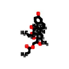 CCC(=O)OCC(=O)[C@]1(OC(=O)CC)[C@H](C)C[C@H]2[C@@H]3C=CC4=CC(=O)C=C[C@]4(C)[C@H]3C(=O)C[C@@]21C